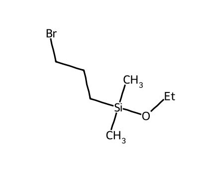 CCO[Si](C)(C)CCCBr